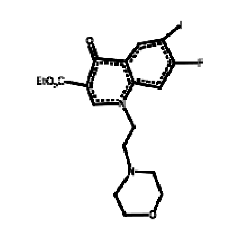 CCOC(=O)c1cn(CCN2CCOCC2)c2cc(F)c(I)cc2c1=O